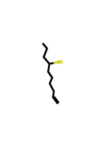 C=CCCCCC(S)CCC